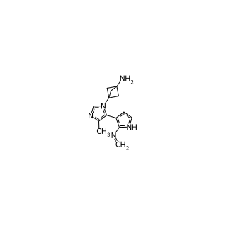 C=Nc1[nH]ccc1-c1c(C)ncn1C12CC(N)(C1)C2